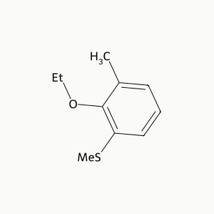 CCOc1c(C)cccc1SC